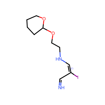 N=C/C(I)=C\NCCOC1CCCCO1